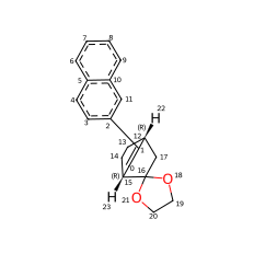 C1=C(c2ccc3ccccc3c2)[C@@H]2CC[C@H]1C1(C2)OCCO1